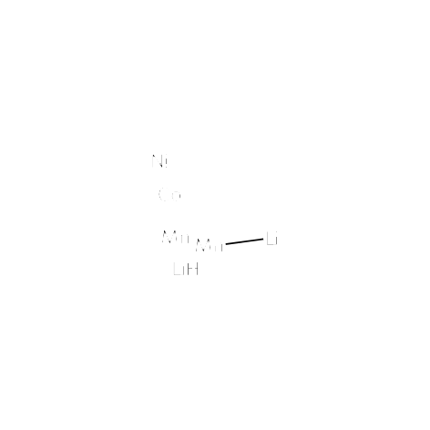 [Co].[LiH].[Li][Mn].[Mn].[Ni]